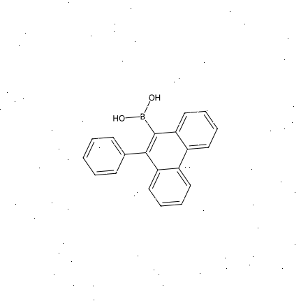 OB(O)c1c(-c2ccccc2)c2ccccc2c2ccccc12